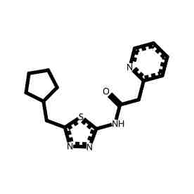 O=C(Cc1ccccn1)Nc1nnc(CC2CCCC2)s1